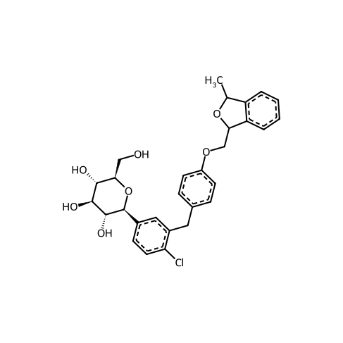 CC1OC(COc2ccc(Cc3cc([C@@H]4O[C@H](CO)[C@@H](O)[C@H](O)[C@H]4O)ccc3Cl)cc2)c2ccccc21